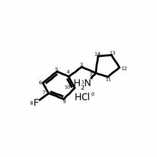 Cl.NC1(Cc2ccc(F)cc2)CCCC1